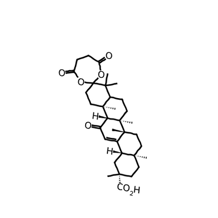 CC1(C)C2CC[C@]3(C)[C@H](C(=O)C=C4[C@H]5C[C@@](C)(C(=O)O)CC[C@]5(C)CC[C@]43C)[C@@]2(C)CCC12OC(=O)CCC(=O)O2